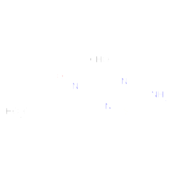 CC(CC(=O)O)ON=C([C]=O)c1nsc(N)n1